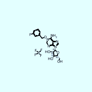 F[B-](F)(F)F.NC1=c2ncn([C@@H]3O[C@H](CO)[C@@H](O)[C@H]3O)c2=NCN1OCc1cccc(F)c1